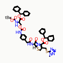 Cn1nnnc1SCC1=C(C(=O)OC(c2ccccc2)c2ccccc2)N2C(=O)[C@@H](NC(=O)Cc3ccc(NC(=O)OCC(NC(=O)OC(C)(C)C)C(=O)OC(c4ccccc4)c4ccccc4)cc3)[C@H]2SC1